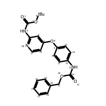 CC(C)(C)OC(=O)Nc1cc(Oc2ccc(NC(=O)OCc3ccccc3)cc2)ccn1